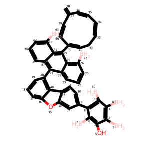 Bc1c(B)c(O)c(B)c(-c2ccc3c(c2)oc2cccc(-c4c5cccc(B)c5c(C5=C/C/C=C\C=C/C(=C)/C=C\5)c5c(B)cccc45)c23)c1B